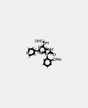 COc1ccccc1-n1c(=O)[nH]c2c(NC=O)nc(-c3ccncc3)nc21